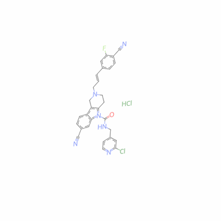 Cl.N#Cc1ccc2c3c(n(C(=O)NCc4ccnc(Cl)c4)c2c1)CCN(C/C=C/c1ccc(C#N)c(F)c1)C3